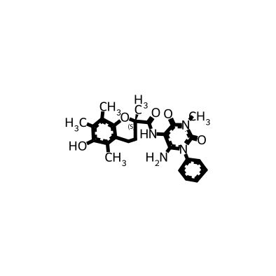 Cc1c(C)c2c(c(C)c1O)CC[C@@](C)(C(=O)Nc1c(N)n(-c3ccccc3)c(=O)n(C)c1=O)O2